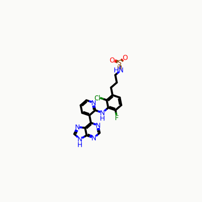 O=[SH](=O)NCCCc1ccc(F)c(Nc2ncccc2-c2ncnc3[nH]cnc23)c1Cl